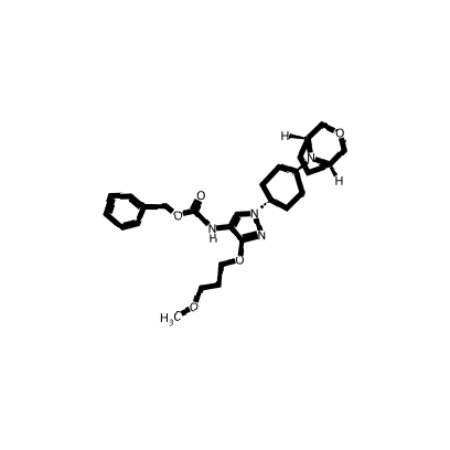 COCCCOc1nn([C@H]2CC[C@H](N3[C@@H]4CC[C@H]3COC4)CC2)cc1NC(=O)OCc1ccccc1